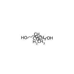 CC(C)(CCCCO)OOC(C)(C)CCCCO